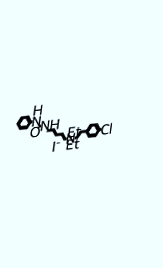 CC[N+](CC)(CCCCCNC(=O)Nc1ccccc1)CCc1ccc(Cl)cc1.[I-]